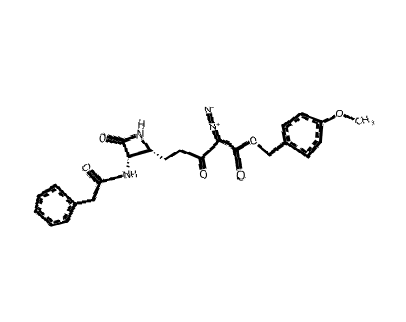 COc1ccc(COC(=O)C(=[N+]=[N-])C(=O)CC[C@H]2NC(=O)[C@H]2NC(=O)Cc2ccccc2)cc1